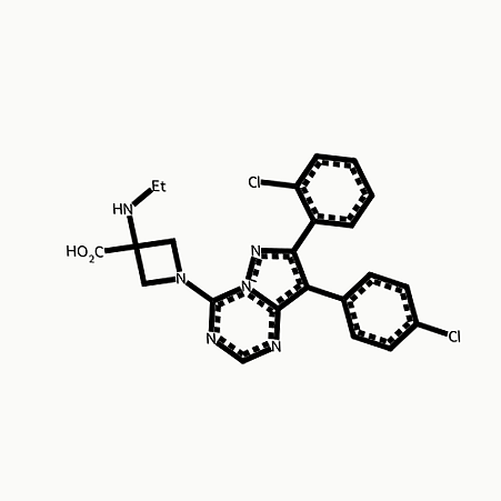 CCNC1(C(=O)O)CN(c2ncnc3c(-c4ccc(Cl)cc4)c(-c4ccccc4Cl)nn23)C1